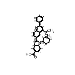 CN(C)c1cc(-c2ccccc2)nc2ccc(-c3nc4cc(C(=O)O)ccc4n3C3CCCCC3)cc12